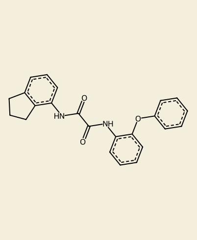 O=C(Nc1ccccc1Oc1ccccc1)C(=O)Nc1cccc2c1CCC2